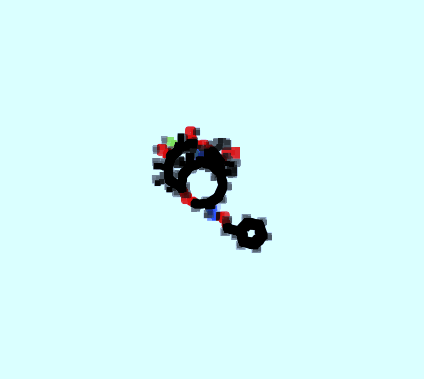 CC[C@H]1OC(=O)[C@@](C)(F)C(=O)[C@H](C)[C@@H](C)[C@@]2(C)C[C@@H](C)/C(=N\C(C)=O)[C@H](C)[C@@H](CC/C(=N\OCc3ccccc3)CO2)[C@]1(C)O